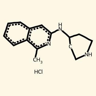 Cc1nc(NC2CCNCC2)cc2ccccc12.Cl